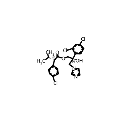 CC(C)[C@H](C(=O)OC[C@](O)(Cn1ccnc1)c1ccc(Cl)cc1Cl)c1ccc(Cl)cc1